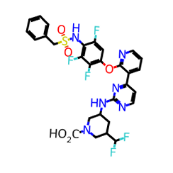 O=C(O)N1CC(Nc2nccc(-c3cccnc3Oc3cc(F)c(NS(=O)(=O)Cc4ccccc4)c(F)c3F)n2)CC(C(F)F)C1